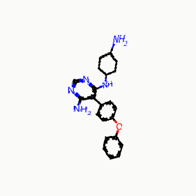 Nc1ncnc(NC2CCC(N)CC2)c1-c1ccc(Oc2ccccc2)cc1